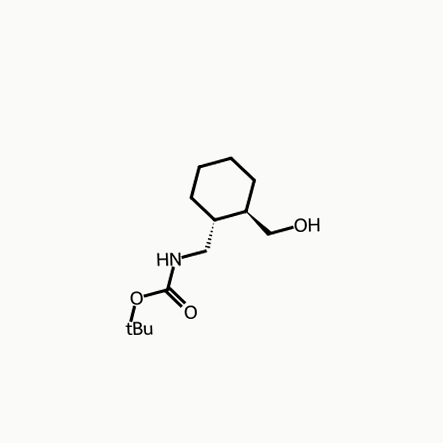 CC(C)(C)OC(=O)NC[C@@H]1CCCC[C@H]1CO